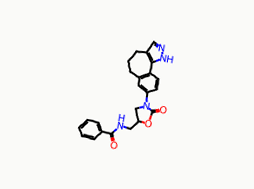 O=C(NCC1CN(c2ccc3c(c2)CCCc2cn[nH]c2-3)C(=O)O1)c1ccccc1